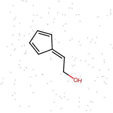 OCC=C1C=CC=C1